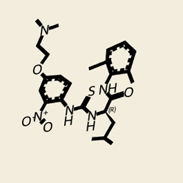 Cc1cccc(C)c1NC(=O)[C@@H](CC(C)C)NC(=S)Nc1ccc(OCCN(C)C)cc1[N+](=O)[O-]